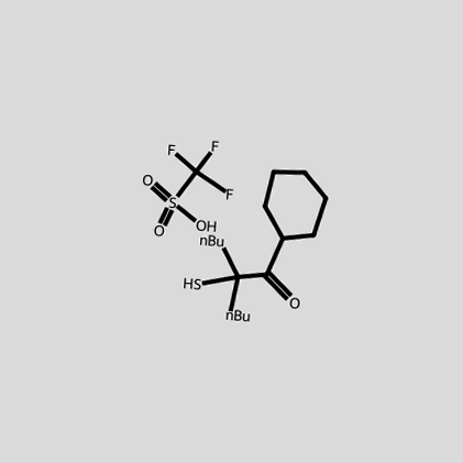 CCCCC(S)(CCCC)C(=O)C1CCCCC1.O=S(=O)(O)C(F)(F)F